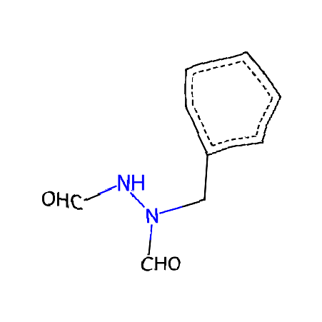 O=CNN(C=O)Cc1ccccc1